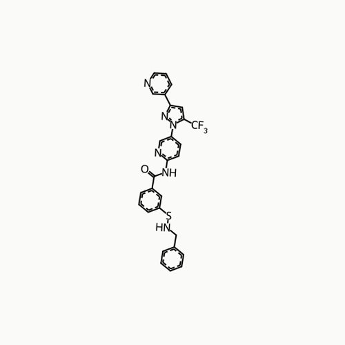 O=C(Nc1ccc(-n2nc(-c3cccnc3)cc2C(F)(F)F)cn1)c1cccc(SNCc2ccccc2)c1